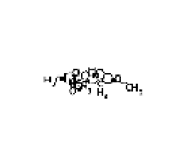 C=CCO[C@H]1CC[C@@]2(C)C(CC[C@@H]3C2CC[C@@]2(C)C3CC3O[C@@]4(CC[C@H](C)CN4C=O)[C@@H](C)C32)C1